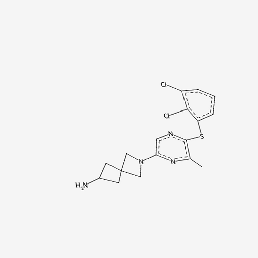 Cc1nc(N2CC3(CC(N)C3)C2)cnc1Sc1cccc(Cl)c1Cl